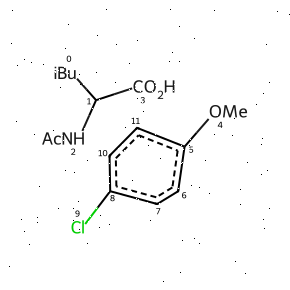 CCC(C)C(NC(C)=O)C(=O)O.COc1ccc(Cl)cc1